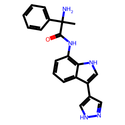 CC(N)(C(=O)Nc1cccc2c(-c3cn[nH]c3)c[nH]c12)c1ccccc1